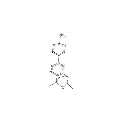 CC1OC2(C)CCC1c1nc(-c3ccc(N)cc3)nnc12